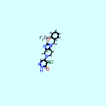 O=c1[nH]ncc(N2CCc3c(ncn3Cc3ccccc3OC(F)(F)F)C2)c1Cl